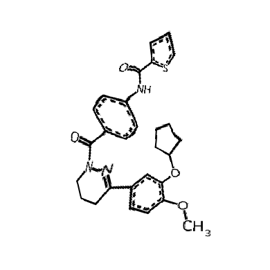 COc1ccc(C2=NN(C(=O)c3ccc(NC(=O)c4cccs4)cc3)CCC2)cc1OC1CCCC1